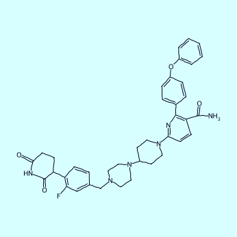 NC(=O)c1ccc(N2CCC(N3CCN(Cc4ccc(C5CCC(=O)NC5=O)c(F)c4)CC3)CC2)nc1-c1ccc(Oc2ccccc2)cc1